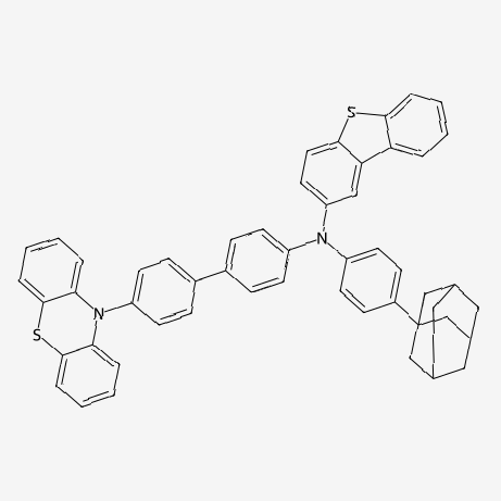 c1ccc2c(c1)Sc1ccccc1N2c1ccc(-c2ccc(N(c3ccc(C45CC6CC(CC(C6)C4)C5)cc3)c3ccc4sc5ccccc5c4c3)cc2)cc1